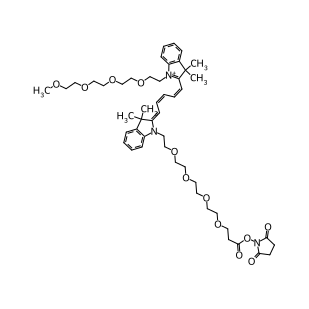 COCCOCCOCCOCC[N+]1=C(\C=C/C=C\C=C2\N(CCOCCOCCOCCOCCC(=O)ON3C(=O)CCC3=O)c3ccccc3C2(C)C)C(C)(C)c2ccccc21